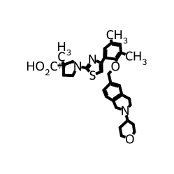 Cc1cc(C)c(OCc2ccc3c(c2)CCN(C2CCOCC2)C3)c(-c2csc(N3CC[C@@](C)(C(=O)O)C3)n2)c1